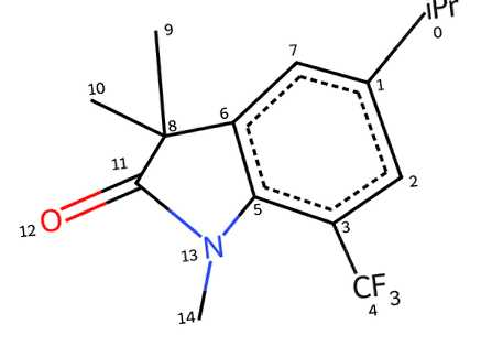 CC(C)c1cc(C(F)(F)F)c2c(c1)C(C)(C)C(=O)N2C